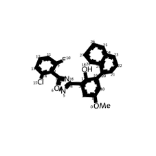 COc1cc(-c2noc(-c3c(F)cccc3Cl)n2)c(O)c(-c2cccc3ccccc23)c1